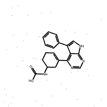 O=C(O)NC1CCC=C(c2ncnc3[nH]cc(-c4ccccc4)c23)C1